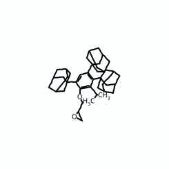 CC(C)c1c(OCC2CO2)c(C23CC4CC(CC(C4)C2)C3)cc(C23CC4CC(CC(C4)C2)C3)c1C12CC3CC(CC(C3)C1)C2